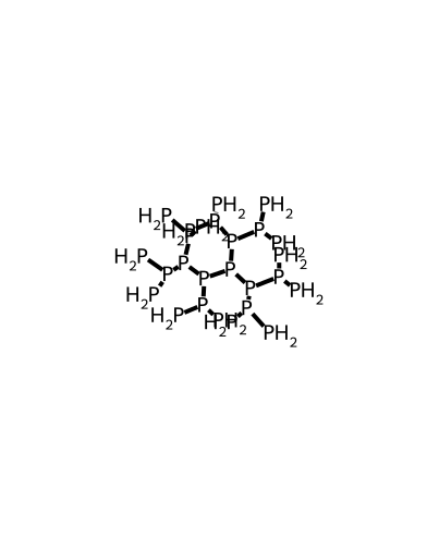 PP(P)P(P(P)P)P(P(P)P)P(P(P(P)P)P(P)P)P(P(P)P)P(P)P